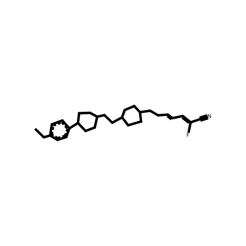 CCc1ccc(C2CCC(CCC3CCC(CCC=CC=C(F)C#N)CC3)CC2)cc1